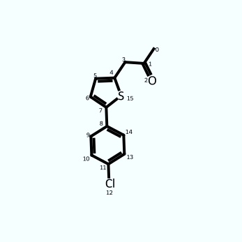 CC(=O)Cc1ccc(-c2ccc(Cl)cc2)s1